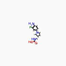 Nc1ccc(N2CC[C@H](CNC(=O)O)C2)cc1F